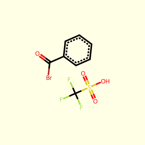 O=C(Br)c1ccccc1.O=S(=O)(O)C(F)(F)F